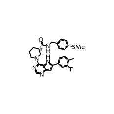 CSc1ccc(CNC(=O)[C@H]2CCCN(c3ncnc4cc(-c5ccc(C)c(F)c5)[nH]c34)C2)cc1